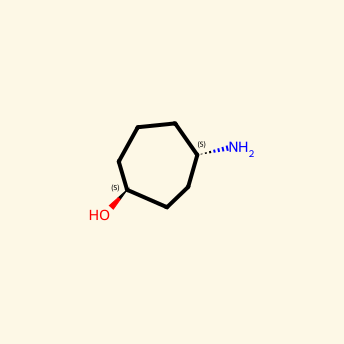 N[C@H]1CCC[C@H](O)CC1